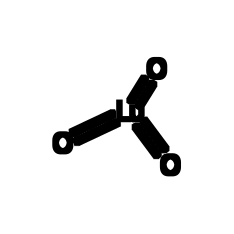 [O]=[Lu](=[O])=[O]